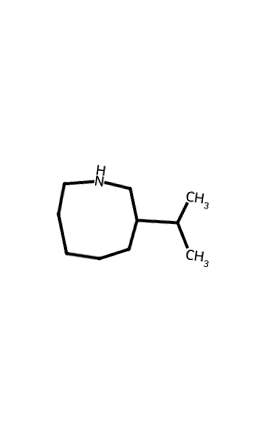 CC(C)C1CCCCCNC1